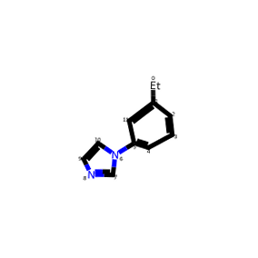 CCc1cccc(-n2[c]ncc2)c1